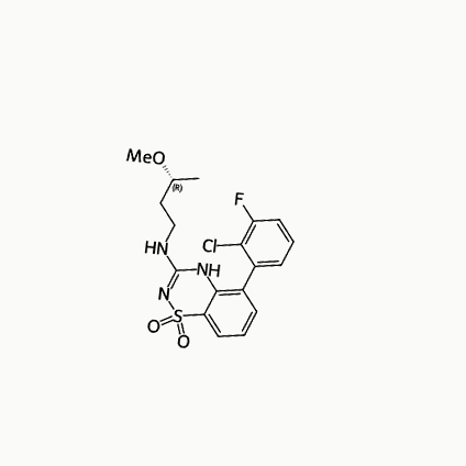 CO[C@H](C)CCNC1=NS(=O)(=O)c2cccc(-c3cccc(F)c3Cl)c2N1